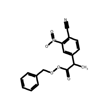 CC(C(=O)OOCc1ccccc1)c1ccc(C#N)c([N+](=O)[O-])c1